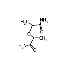 CC(OC(C)C(N)=O)C(N)=O